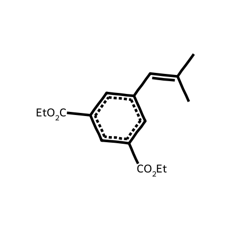 CCOC(=O)c1cc(C=C(C)C)cc(C(=O)OCC)c1